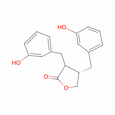 O=C1OC[C@@H](Cc2cccc(O)c2)C1Cc1cccc(O)c1